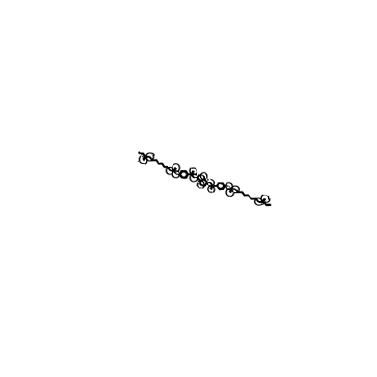 C=CC(=O)OCCCCCCOC(=O)Oc1ccc(C(=O)O[C@H]2COC3C2OC[C@@H]3OC(=O)c2ccc(OC(=O)OCCCCCCOC(=O)C=C)cc2)cc1